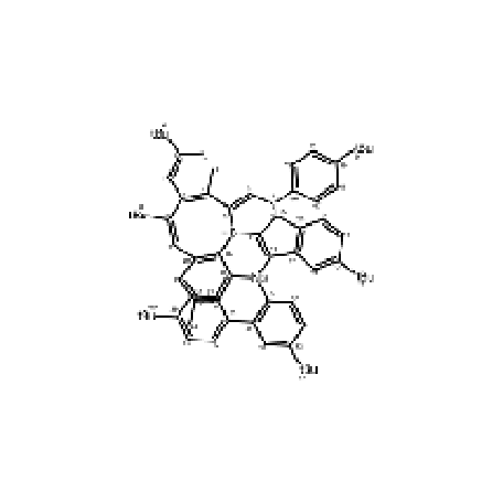 C/C1=C(\C=C(/C)C(C)(C)C)C(/C(C)(C)C)=C\c2cc(C)cc3c2B(C2=C(c4cc(C(C)(C)C)ccc4C2)N3c2ccc(C(C)(C)C)cc2-c2ccc(C(C)(C)C)cc2)\C1=C/Nc1ccc(C(C)(C)C)cc1